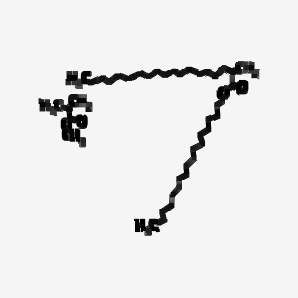 C=C(C)C(=O)OC.C=C(CCCCCCCCCCCCCCCCC)C(=O)OCCCCCCCCCCCCCCCCCC